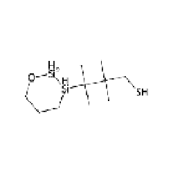 CC(C)(CS)C(C)(C)[SiH]1CCCO[SiH2]1